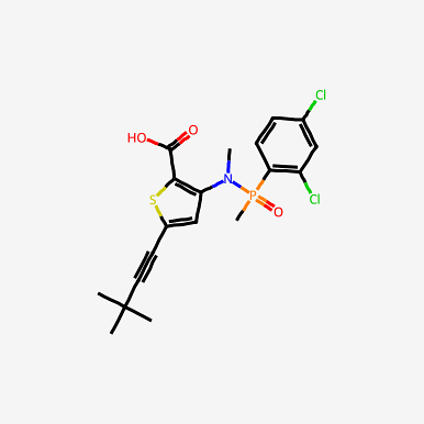 CN(c1cc(C#CC(C)(C)C)sc1C(=O)O)P(C)(=O)c1ccc(Cl)cc1Cl